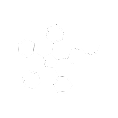 C=C(/C=C\C=C/C)c1c(-c2ccccc2)c(-c2ccccc2)c(-c2ccccc2)p1-c1ccccc1